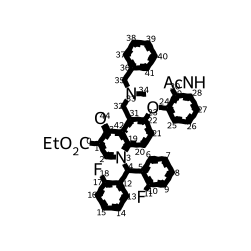 CCOC(=O)c1cn(C(c2ccccc2F)c2ccccc2F)c2ccc(Oc3ccccc3NC(C)=O)c(CN(C)Cc3ccccc3)c2c1=O